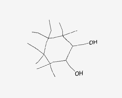 CC1(C)C(O)C(O)C(C)(C)C(C)(C)C1(C)C